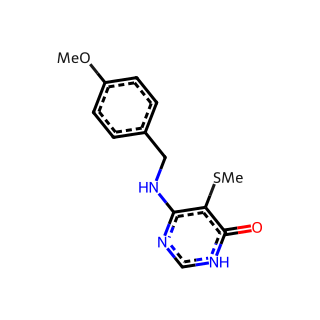 COc1ccc(CNc2nc[nH]c(=O)c2SC)cc1